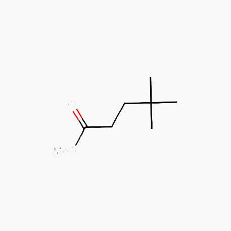 [CH]OC(=O)CCC(C)(C)C